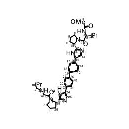 COC(=O)N[C@H](C(=O)N1CCC[C@H]1c1ncc(-c2ccc(-c3ccc(-c4cnc([C@@H]5CCCN5C(=O)CNCC(C)C)[nH]4)cc3)cc2)[nH]1)C(C)C